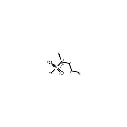 CCC[C@H](C)S(C)(=O)=O